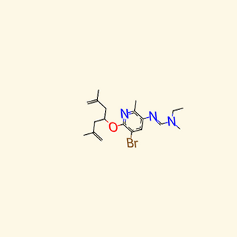 C=C(C)CC(CC(=C)C)Oc1nc(C)c(/N=C/N(C)CC)cc1Br